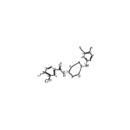 Cc1ccc(N[C@H]2CC[C@@H](NC(=O)c3ccc(F)c(Cl)c3)CC2)nc1C